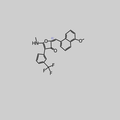 CNC1=C(c2cccc(C(F)(F)F)c2)C(=O)/C(=C\c2cccc3c(OC)cccc23)O1